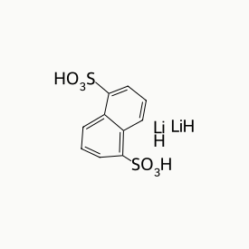 O=S(=O)(O)c1cccc2c(S(=O)(=O)O)cccc12.[LiH].[LiH]